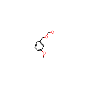 COc1cccc(COC=O)c1